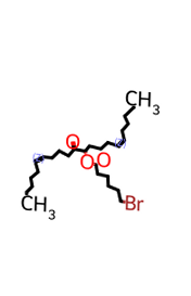 CCCCC/C=C\CCCC(=O)C(CCC/C=C\CCCCC)OC(=O)CCCCCBr